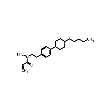 C=CC(=O)N(C)CCc1ccc(C2CCC(CCCCC)CC2)cc1